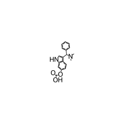 CN(C)C(c1ccccc1)c1c[nH]c2cc(OC(=O)O)ccc12